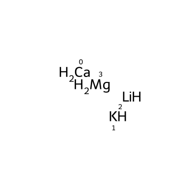 [CaH2].[KH].[LiH].[MgH2]